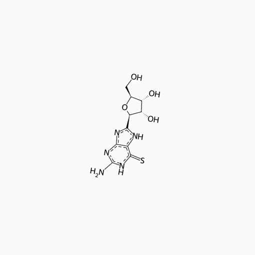 Nc1nc2nc([C@H]3O[C@@H](CO)[C@H](O)[C@@H]3O)[nH]c2c(=S)[nH]1